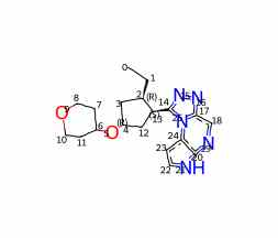 CC[C@@H]1C[C@@H](OC2CCOCC2)C[C@@H]1c1nnc2cnc3[nH]ccc3n12